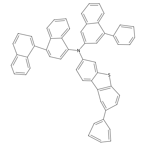 c1ccc(-c2ccc3sc4cc(N(c5cc(-c6ccccc6)c6ccccc6c5)c5ccc(-c6cccc7ccccc67)c6ccccc56)ccc4c3c2)cc1